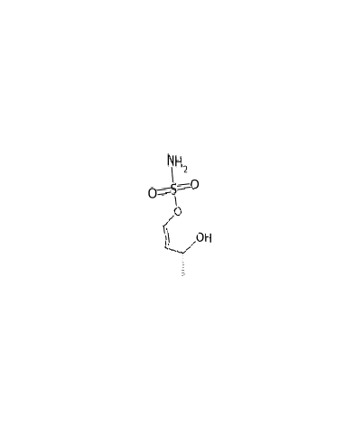 C[C@@H](O)/C=C\OS(N)(=O)=O